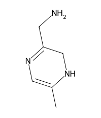 CC1=CN=C(CN)CN1